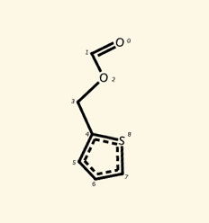 O=COCc1cccs1